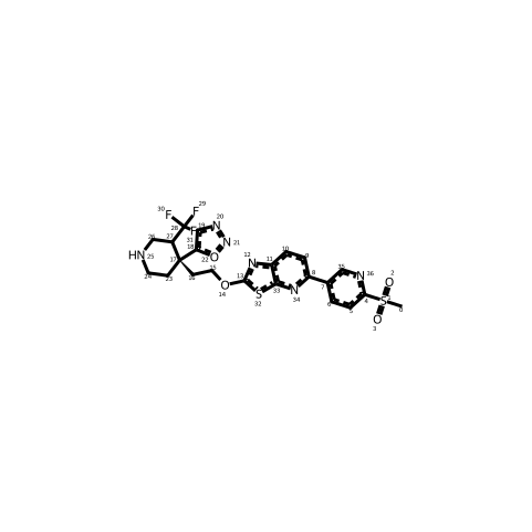 CS(=O)(=O)c1ccc(-c2ccc3nc(OCC[C@@]4(c5cnno5)CCNCC4C(F)(F)F)sc3n2)cn1